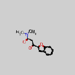 CN(C)C(=O)CC(=O)c1cc2ccccc2o1